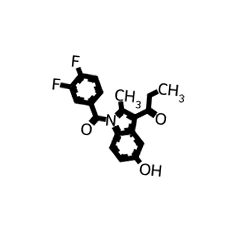 CCC(=O)c1c(C)n(C(=O)c2ccc(F)c(F)c2)c2ccc(O)cc12